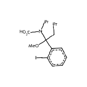 COC(CC(C)C)(c1ccccc1I)N(C(=O)O)C(C)C